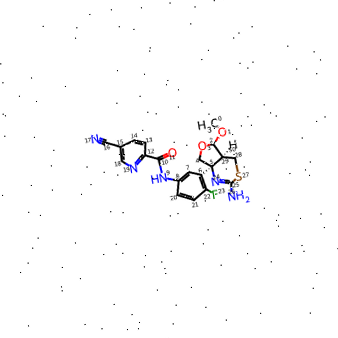 CO[C@@H]1OC[C@]2(c3cc(NC(=O)c4ccc(C#N)cn4)ccc3F)N=C(N)SC[C@H]12